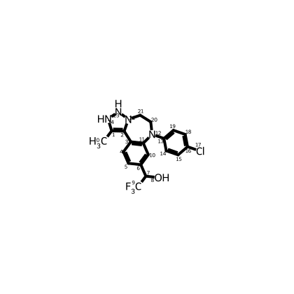 CC1=C2c3ccc(C(O)C(F)(F)F)cc3N(c3ccc(Cl)cc3)CCN2NN1